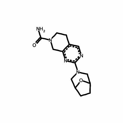 NC(=O)N1CCc2cnc(N3CC4CCC(C3)O4)nc2C1